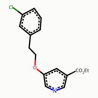 CCOC(=O)c1cncc(OCCc2cccc(Cl)c2)c1